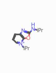 CC(C)Nc1nc2ccc[n+](C(C)C)c2o1